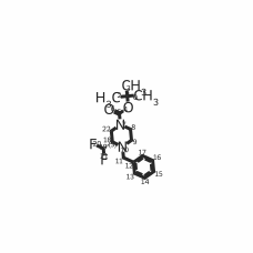 CC(C)(C)OC(=O)N1CCN(Cc2ccccc2)[C@H](C(F)F)C1